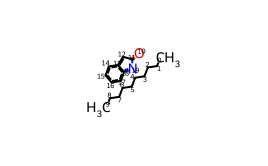 CCCCCCCCCC.O=C1C=c2ccccc2=N1